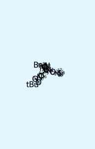 CC(C)(C)OC(=O)N1CC=C(c2cn(COCC[Si](C)(C)C)c3ncc(Br)nc23)CC1